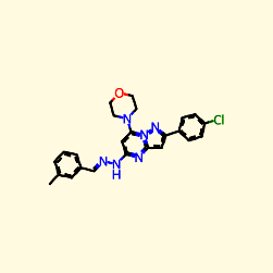 Cc1cccc(C=NNc2cc(N3CCOCC3)n3nc(-c4ccc(Cl)cc4)cc3n2)c1